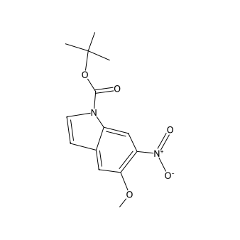 COc1cc2ccn(C(=O)OC(C)(C)C)c2cc1[N+](=O)[O-]